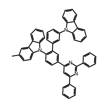 Cc1ccc2c(c1)c1ccccc1n2-c1ccc(-c2cc(-c3ccccc3)nc(-c3ccccc3)n2)cc1-c1cccc(-n2c3ccccc3c3ccccc32)c1